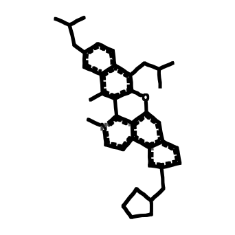 Cc1c2c(c(CC(C)C)c3ccc(CC(C)C)cc13)Oc1cc3ccc(CC4CCCC4)cc3c3cc[n+](C)c-2c13